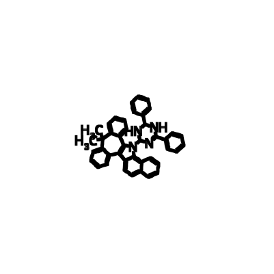 CC1(C)c2ccccc2-c2c(n(C3N=C(c4ccccc4)NC(c4ccccc4)N3)c3c2ccc2ccccc23)-c2ccccc21